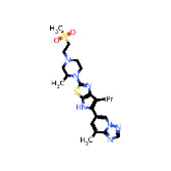 Cc1cc(-c2[nH]c3sc(N4CCN(CCS(C)(=O)=O)CC4C)nc3c2C(C)C)cn2ncnc12